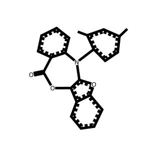 Cc1ccc(N2c3ccccc3C(=O)Oc3c2oc2ccccc32)c(C)c1